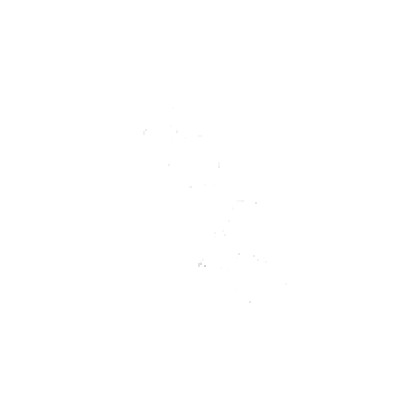 O=C(c1c[nH]c2ccccc12)N1CCS(=O)(=O)CC1